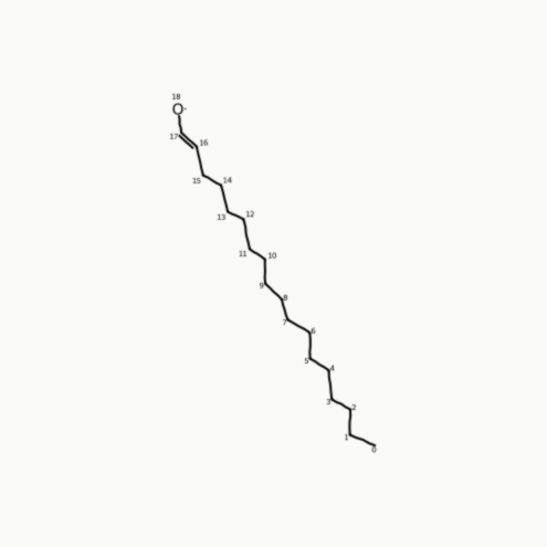 CCCCCCCCCCCCCCCCC=C[O]